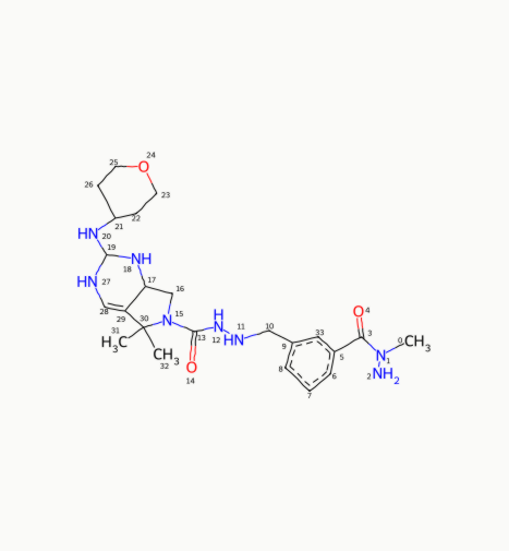 CN(N)C(=O)c1cccc(CNNC(=O)N2CC3NC(NC4CCOCC4)NC=C3C2(C)C)c1